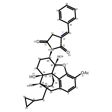 CC(=O)Oc1ccc2c3c1O[C@H]1[C@H](N4C(=O)C/C(=C\c5ccccc5)C4=O)CC[C@@]4(O)[C@@H](C2)N(CC2CC2)CC[C@]314